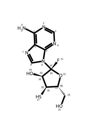 Nc1ncnc2c1ncn2[C@]1(F)O[C@H](CO)[C@@H](S)[C@H]1O